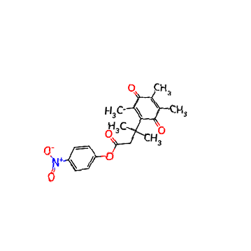 CC1=C(C)C(=O)C(C(C)(C)CC(=O)Oc2ccc([N+](=O)[O-])cc2)=C(C)C1=O